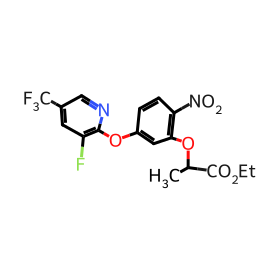 CCOC(=O)C(C)Oc1cc(Oc2ncc(C(F)(F)F)cc2F)ccc1[N+](=O)[O-]